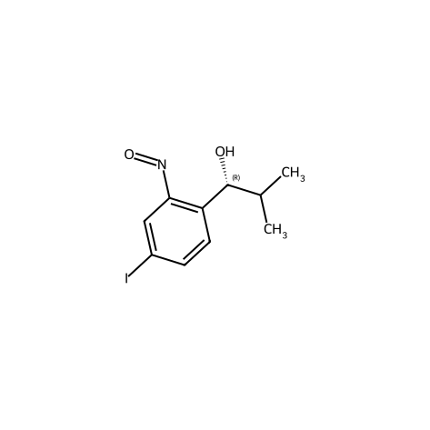 CC(C)[C@@H](O)c1ccc(I)cc1N=O